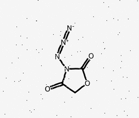 [N-]=[N+]=NN1C(=O)COC1=O